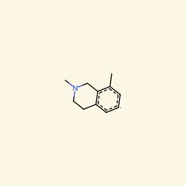 Cc1c[c]cc2c1CN(C)CC2